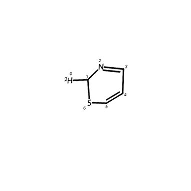 [2H]C1N=CC=CS1